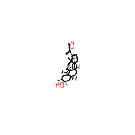 C[C@H]1C[C@H]2[C@H](CC[C@@H]3[C@@H]2CC[C@]2(C)[C@@H](C4(C)CO4)CC[C@@H]32)C[C@]1(C)O